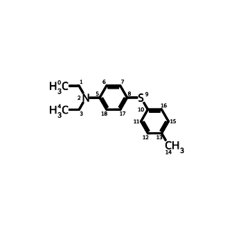 CCN(CC)c1ccc(Sc2ccc(C)cc2)cc1